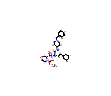 CC(C)(C)OC(=O)N1CCOC[C@H]1C(=O)N[C@H](CCC1CCCCC1)C(=S)NC1CCN(Cc2ccccc2)CC1